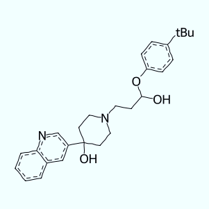 CC(C)(C)c1ccc(OC(O)CCN2CCC(O)(c3cnc4ccccc4c3)CC2)cc1